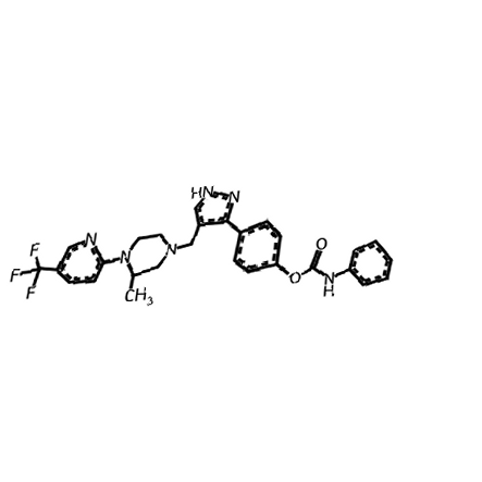 CC1CN(Cc2c[nH]nc2-c2ccc(OC(=O)Nc3ccccc3)cc2)CCN1c1ccc(C(F)(F)F)cn1